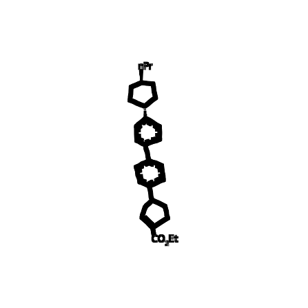 CCC[C@H]1CC[C@H](c2ccc(-c3ccc(C4CC=C(C(=O)OCC)CC4)cc3)cc2)CC1